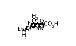 CCNC1CN(c2cc3nc4c(cc3cc2F)c(=O)c(C(=O)O)cn4C)C1.O